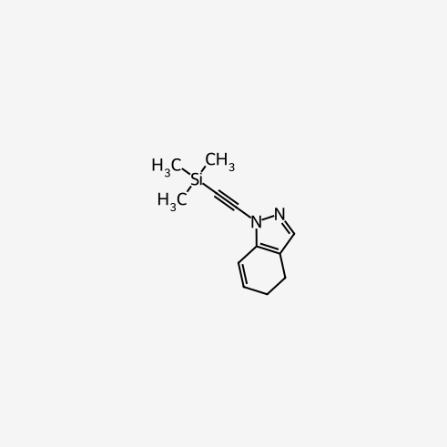 C[Si](C)(C)C#Cn1ncc2c1C=CCC2